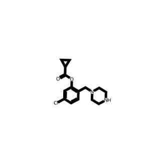 O=C(Oc1cc(Cl)ccc1CN1CCNCC1)C1CC1